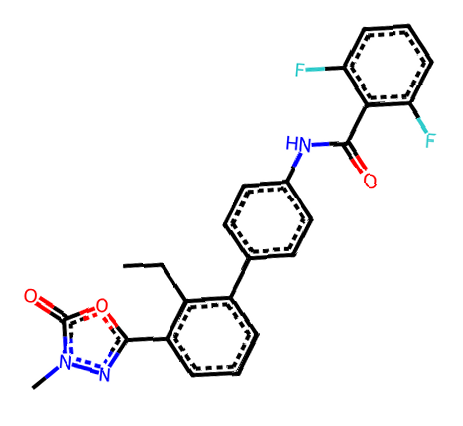 CCc1c(-c2ccc(NC(=O)c3c(F)cccc3F)cc2)cccc1-c1nn(C)c(=O)o1